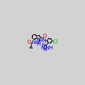 O=C(Nc1ccc(Cl)cc1-c1nnn[nH]1)c1cc2cccc(NC(=O)C3CC3)c2[nH]1